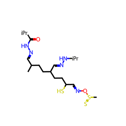 CC(/C=N/NC(=O)C(C)C)CCC(C=NNC(C)C)CCC(S)/C=N/OS(C)=S